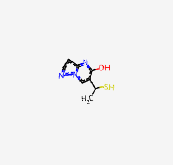 CC(S)c1cn2nccc2nc1O